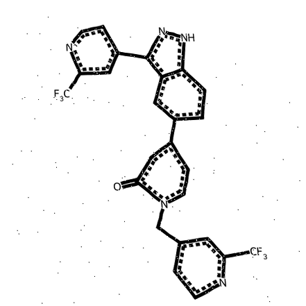 O=c1cc(-c2ccc3[nH]nc(-c4ccnc(C(F)(F)F)c4)c3c2)ccn1Cc1ccnc(C(F)(F)F)c1